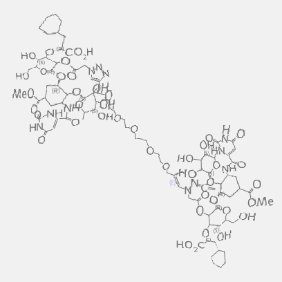 C=C=NN(/C=C(\C)COCCOCCOCCOCCOCc1cn(CC(=O)OC2C(O[C@@H](CC3CCCCC3)C(=O)O)[C@@H](O)C(CO)O[C@H]2O[C@@H]2CC(C(=O)OC)CC(NC(=O)c3cc(=O)[nH]c(=O)[nH]3)C2O[C@@H]2OC(C)[C@@H](O)C(O)C2O)nn1)CC(=O)OC1C(O[C@@H](CC2CCCCC2)C(=O)O)[C@@H](O)C(CO)O[C@H]1O[C@@H]1CC(C(=O)OC)CC(NC(=O)c2cc(=O)[nH]c(=O)[nH]2)C1O[C@@H]1OC(C)[C@@H](O)C(O)C1O